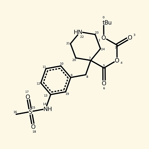 CC(C)(C)OC(=O)OC(=O)C1(Cc2cccc(NS(C)(=O)=O)c2)CCNCC1